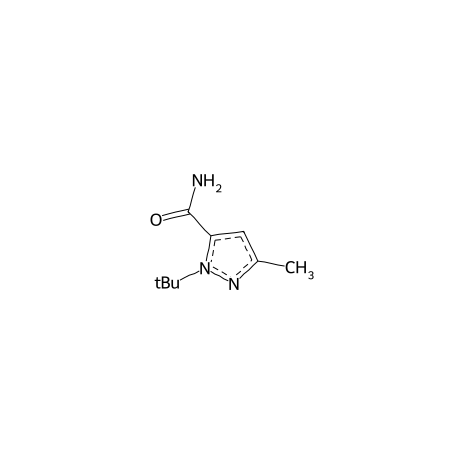 Cc1cc(C(N)=O)n(C(C)(C)C)n1